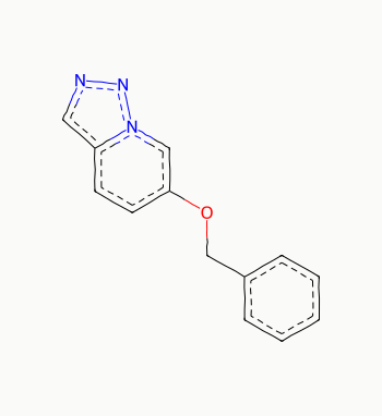 c1ccc(COc2ccc3cnnn3c2)cc1